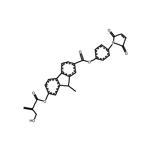 C=C(CO)C(=O)Oc1ccc2c(c1)C(C)c1cc(C(=O)Oc3ccc(N4C(=O)C=CC4=O)cc3)ccc1-2